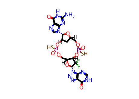 Nc1nc2c(ncn2[C@@H]2O[C@@H]3COP(=O)(S)O[C@@H]4[C@@H](COP(=O)(S)O[C@@H]2C3)O[C@@H](n2nnc3c(=O)[nH]cnc32)C4(F)F)c(=O)[nH]1